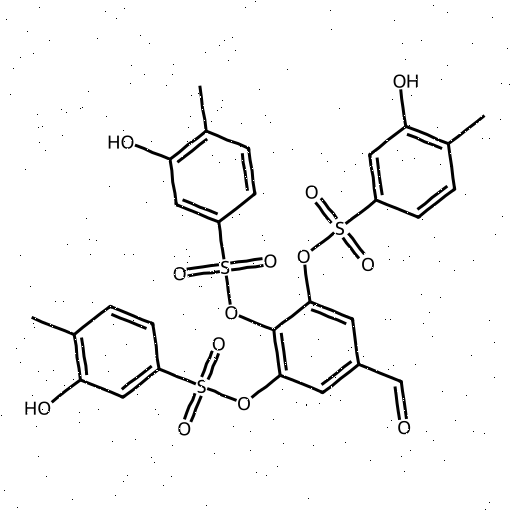 Cc1ccc(S(=O)(=O)Oc2cc(C=O)cc(OS(=O)(=O)c3ccc(C)c(O)c3)c2OS(=O)(=O)c2ccc(C)c(O)c2)cc1O